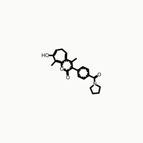 CC1=c2oc(=O)c(-c3ccc(C(=O)N4CCCC4)cc3)c(C)c2=CCC=C1O